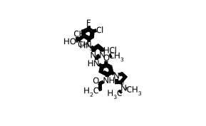 C=CC(=O)Nc1cc(Nc2nccc(Nc3cc(Cl)c(F)cc3C(C)(C)O)n2)c(OC)cc1N1CC[C@@H](N(C)C)C1.Cl